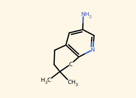 CC1(C)CCc2cc(N)cnc2C1